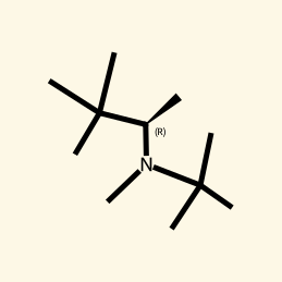 C[C@@H](N(C)C(C)(C)C)C(C)(C)C